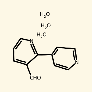 O.O.O.O=Cc1cccnc1-c1ccncc1